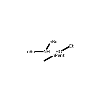 CCCCCC.CCCCNCCCC.CCO